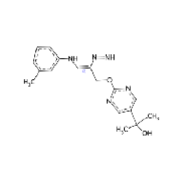 Cc1cccc(N/C=C(/COc2ncc(C(C)(C)O)cn2)N=N)c1